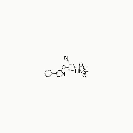 CS(=O)(=O)NC(=O)c1ccc(Oc2cc(-c3ccccc3)ccn2)c(C#N)c1